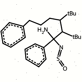 CC(C)(C)C(CCCc1ccccc1)C(C(C)(C)C)C(N)(N=S=O)c1ccccc1